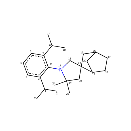 CC(C)c1cccc(C(C)C)c1N1CC2(CC3CCC2C3)CC1(C)C